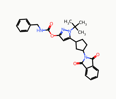 CC(C)(C)n1nc(OC(=O)NCc2ccccc2)cc1C1CCC(N2C(=O)c3ccccc3C2=O)C1